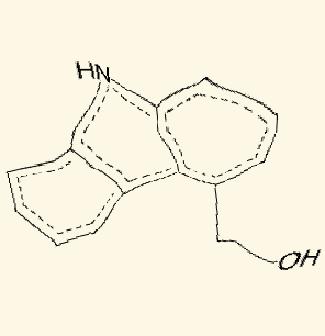 OCc1cccc2[nH]c3ccccc3c12